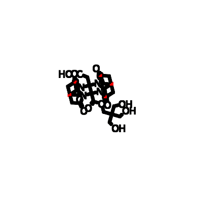 O=C(O)CC(N1C(=O)CCC1=O)(N1C(=O)CCC1=O)C(C(=O)OCC(CO)(CO)CO)(N1C(=O)CCC1=O)N1C(=O)CCC1=O